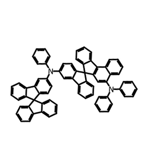 c1ccc(N(c2ccc3c(c2)-c2ccccc2C32c3ccccc3-c3ccccc32)c2ccc3c(c2)-c2ccccc2C32c3ccccc3-c3c2cc(N(c2ccccc2)c2ccccc2)c2ccccc32)cc1